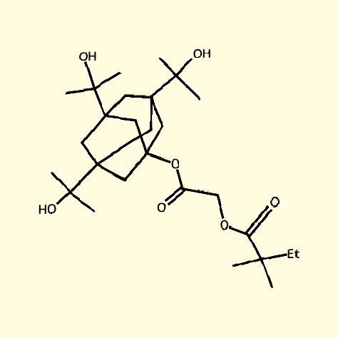 CCC(C)(C)C(=O)OCC(=O)OC12CC3(C(C)(C)O)CC(C(C)(C)O)(C1)CC(C(C)(C)O)(C2)C3